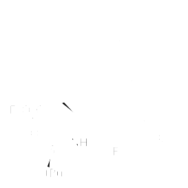 CCOC(=O)C[C@H](N[S@+]([O-])C(C)(C)C)c1cc(-c2c(C)cccc2C)cc(Cl)c1F